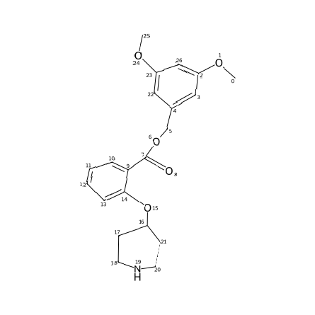 COc1cc(COC(=O)c2ccccc2OC2CCNCC2)cc(OC)c1